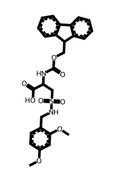 COc1ccc(CNS(=O)(=O)CC(NC(=O)OCC2c3ccccc3-c3ccccc32)C(=O)O)c(OC)c1